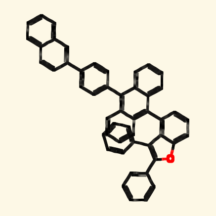 c1ccc(-c2oc3cccc(-c4c5ccccc5c(-c5ccc(-c6ccc7ccccc7c6)cc5)c5ccccc45)c3c2-c2ccccc2)cc1